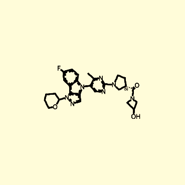 Cc1nc(N2CC[C@H](C(=O)N3CC(O)C3)C2)ncc1-n1c2ccc(F)cc2c2c1cnn2C1CCCCO1